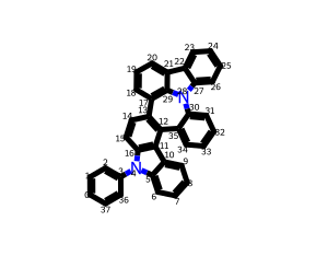 c1ccc(-n2c3ccccc3c3c4c(ccc32)-c2cccc3c5ccccc5n(c23)-c2ccccc2-4)cc1